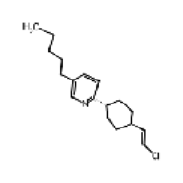 CCCCCc1ccc([C@H]2CC[C@H](/C=C/Cl)CC2)nc1